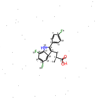 C[C@@H](Cc1c(-c2ccc(F)cc2)[nH]c2c(F)cc(F)cc12)C(=O)O